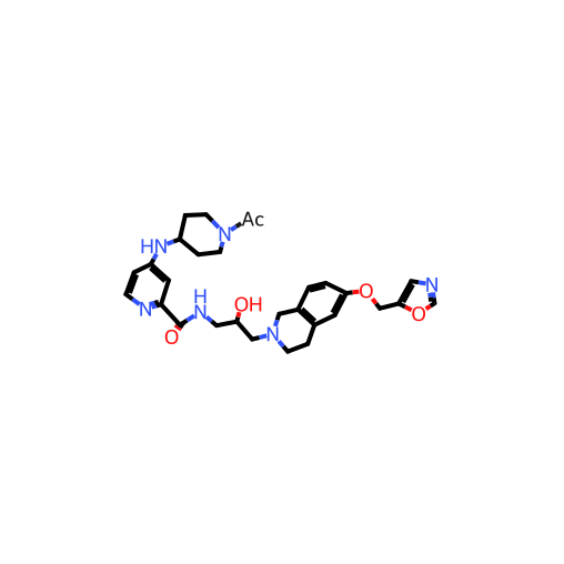 CC(=O)N1CCC(Nc2ccnc(C(=O)NCC(O)CN3CCc4cc(OCc5cnco5)ccc4C3)c2)CC1